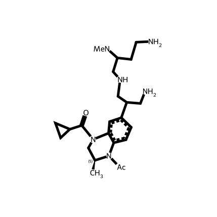 CNC(CCN)CNCC(CN)c1ccc2c(c1)N(C(=O)C1CC1)C[C@H](C)N2C(C)=O